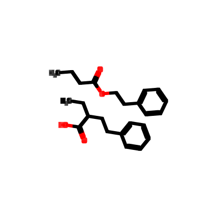 CCC(CCc1ccccc1)C(=O)O.CCCC(=O)OCCc1ccccc1